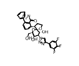 NC(=O)c1c(-c2ccccc2)cccc1[C@H]1CCO[C@]12O[C@H](CO)[C@H](O)[C@H](n1cc(-c3cc(F)c(F)c(F)c3)nn1)[C@H]2O